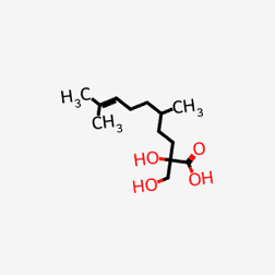 CC(C)=CCCC(C)CCC(O)(CO)C(=O)O